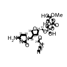 COP(=O)(O)OP(=O)(O)OP(=O)(O)OC[C@H]1OCC(Cn2ccc(N)nc2=O)[C@@H]1OCN=[N+]=[N-]